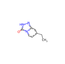 CCc1ccn2c(=O)[nH]nc2c1